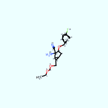 CCOCOCC1C2CC(OCc3ccc(F)cc3)C(N)(C#N)C12